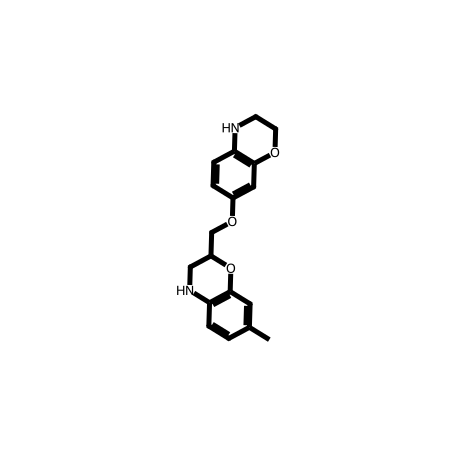 Cc1ccc2c(c1)OC(COc1ccc3c(c1)OCCN3)CN2